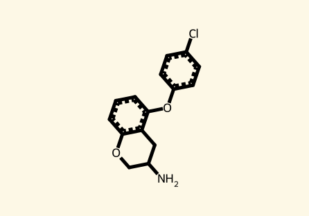 NC1COc2cccc(Oc3ccc(Cl)cc3)c2C1